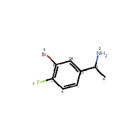 CC(N)c1ccc(F)c(Br)c1